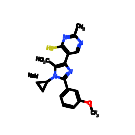 Cc1ncc(-c2nc(-c3cccc(OC(F)(F)F)c3)n(C3CC3)c2C(=O)O)c(S)n1.[NaH]